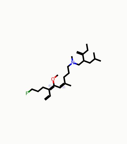 C=C/C(CCCF)=C(\C=C(\C)CCCN(C)CC(CC(C)C)C(=C)CC)OC